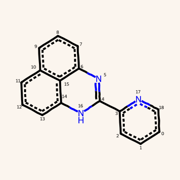 c1ccc(C2=Nc3cccc4cccc(c34)N2)nc1